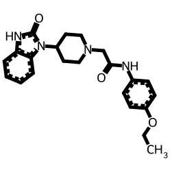 CCOc1ccc(NC(=O)CN2CCC(n3c(=O)[nH]c4ccccc43)CC2)cc1